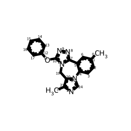 Cc1ccc2c(c1)-c1nnc(Oc3ccccc3)n1Cc1c(C)ncn1-2